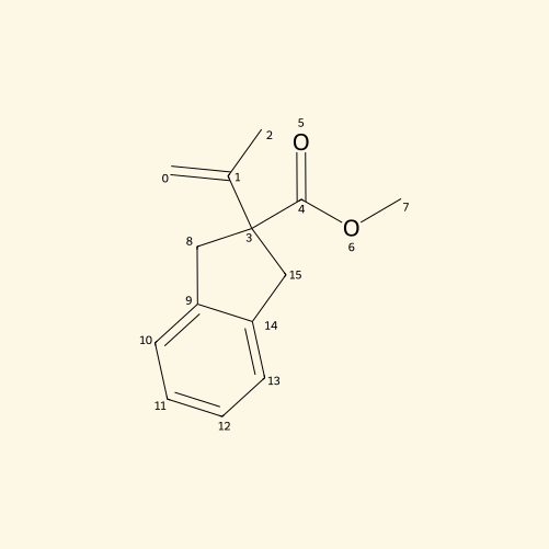 C=C(C)C1(C(=O)OC)Cc2ccccc2C1